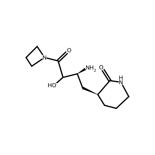 N[C@@H](C[C@@H]1CCCNC1=O)C(O)C(=O)N1CCC1